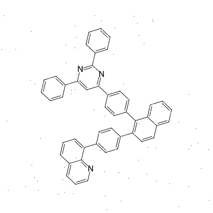 c1ccc(-c2cc(-c3ccc(-c4c(-c5ccc(-c6cccc7cccnc67)cc5)ccc5ccccc45)cc3)nc(-c3ccccc3)n2)cc1